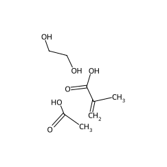 C=C(C)C(=O)O.CC(=O)O.OCCO